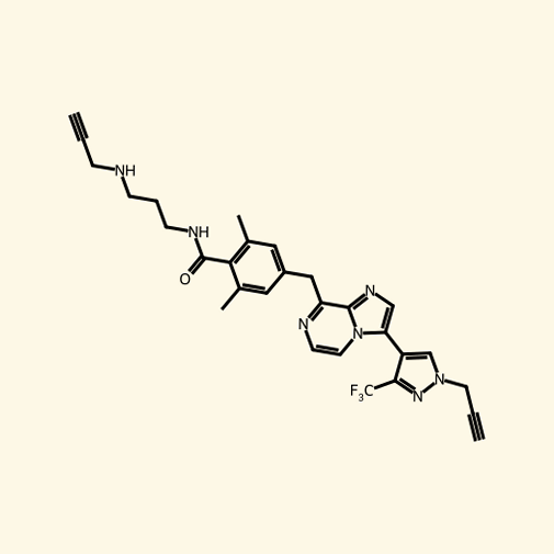 C#CCNCCCNC(=O)c1c(C)cc(Cc2nccn3c(-c4cn(CC#C)nc4C(F)(F)F)cnc23)cc1C